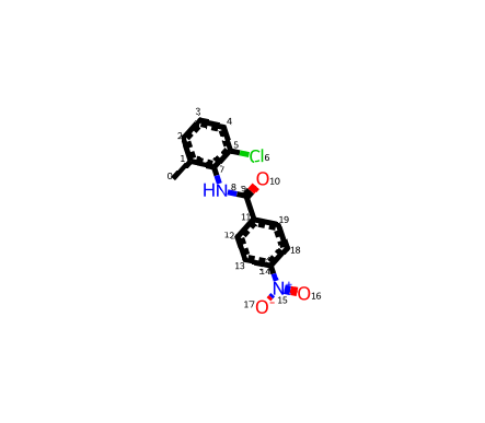 Cc1cccc(Cl)c1NC(=O)c1ccc([N+](=O)[O-])cc1